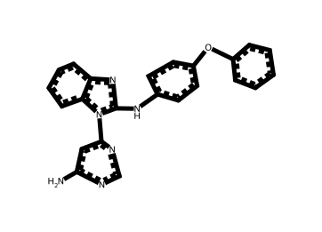 Nc1cc(-n2c(Nc3ccc(Oc4ccccc4)cc3)nc3ccccc32)ncn1